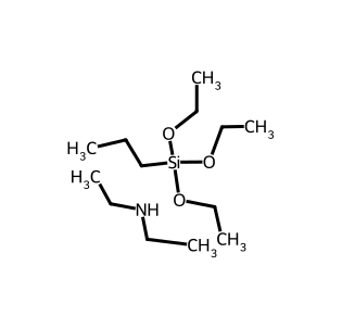 CCC[Si](OCC)(OCC)OCC.CCNCC